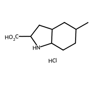 CC1CCC2NC(C(=O)O)CC2C1.Cl